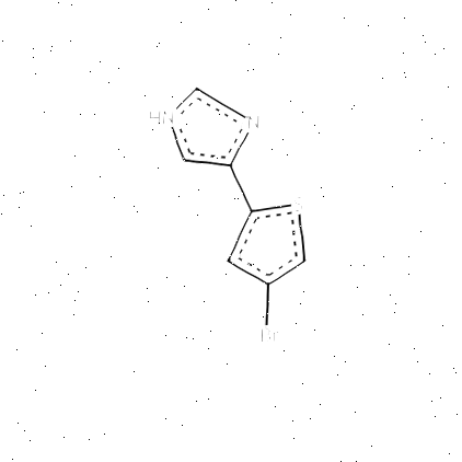 Brc1csc(-c2c[nH][c]n2)c1